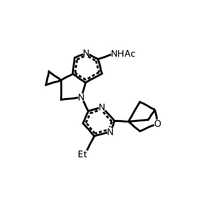 CCc1cc(N2CC3(CC3)c3cnc(NC(C)=O)cc32)nc(C23COC(C2)C3)n1